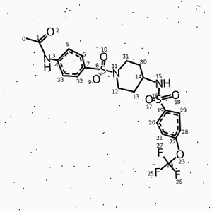 CC(=O)Nc1ccc(S(=O)(=O)N2CCC(NS(=O)(=O)c3ccc(OC(F)(F)F)cc3)CC2)cc1